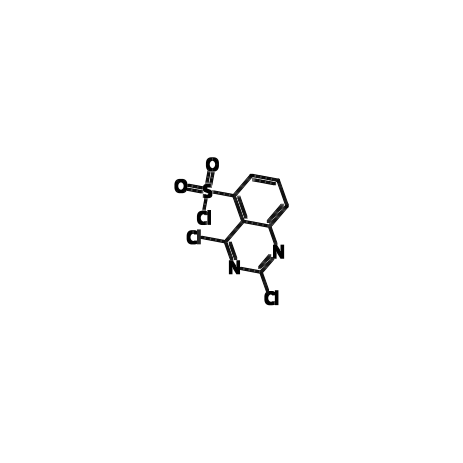 O=S(=O)(Cl)c1cccc2nc(Cl)nc(Cl)c12